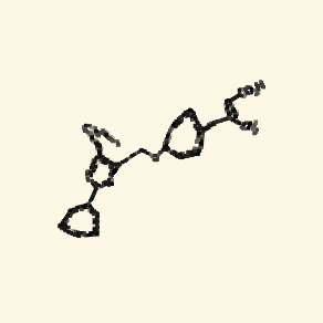 CC(=CC(=O)O)c1ccc(OCc2nc(-c3ccccc3)oc2C)cc1